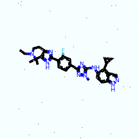 CCN1CCc2nc(-c3ccc(-c4nc(Nc5ccc6[nH]ncc6c5C5CC5)n(C)n4)cc3F)[nH]c2C1(C)C